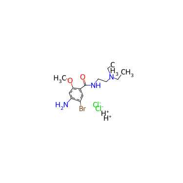 CCN(CC)CCNC(=O)c1cc(Br)c(N)cc1OC.[Cl-].[Cl-].[H+].[H+]